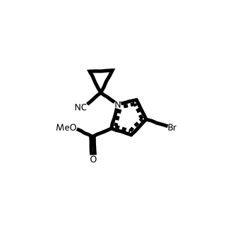 COC(=O)c1cc(Br)cn1C1(C#N)CC1